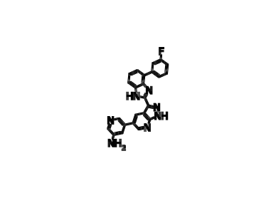 Nc1cncc(-c2cnc3[nH]nc(-c4nc5c(-c6cccc(F)c6)cccc5[nH]4)c3c2)c1